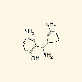 Cc1cccc(C(N)c2cc(N)ccc2O)c1